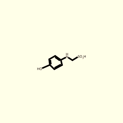 O=S(=O)(O)CNc1ccc(O)cc1